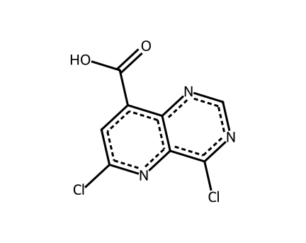 O=C(O)c1cc(Cl)nc2c(Cl)ncnc12